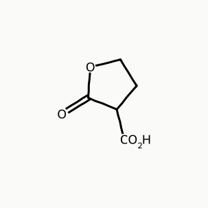 O=C(O)C1CCOC1=O